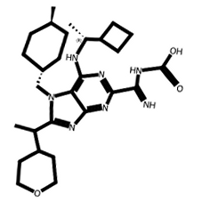 CC(c1nc2nc(C(=N)NC(=O)O)nc(N[C@H](C)C3CCC3)c2n1C[C@H]1CC[C@H](C)CC1)C1CCOCC1